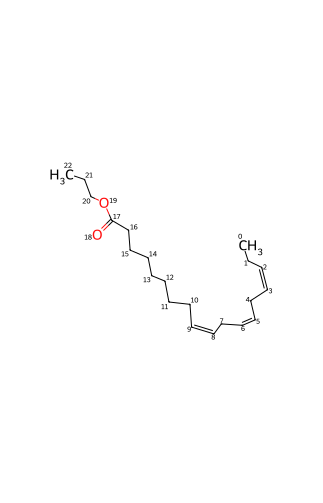 CC/C=C\C/C=C\C/C=C\CCCCCCCC(=O)OCCC